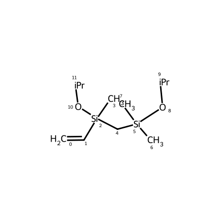 C=C[Si](C)(C[Si](C)(C)OC(C)C)OC(C)C